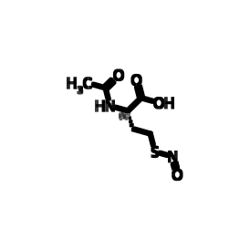 CC(=O)N[C@@H](CCSN=O)C(=O)O